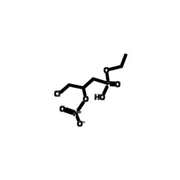 CCOP(=O)(O)CC(CCl)O[N+](=O)[O-]